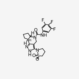 O=C(Nc1cc(F)c(F)c(F)c1)N1Cc2c(n[nH]c2N2CCCS2(=O)=O)[C@@H]2CCC[C@@H]21